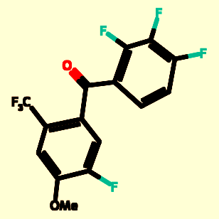 COc1cc(C(F)(F)F)c(C(=O)c2ccc(F)c(F)c2F)cc1F